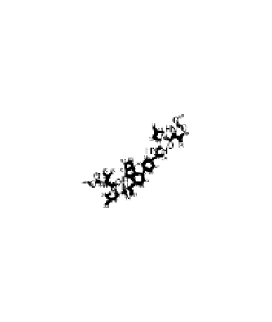 COC(=O)NC(C(=O)N1CC(C)=C[C@H]1c1ncc(-c2ccc(-c3ccc(-c4cnc([C@@H]5C=C(C)CN5C(=O)[C@@H](NC(=O)OC)C(C)C)[nH]4)c4c3C3CCC3C4)cc2)[nH]1)C(C)C